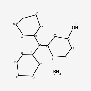 B.OC1CCCC(P(C2CCCCC2)C2CCCCC2)C1